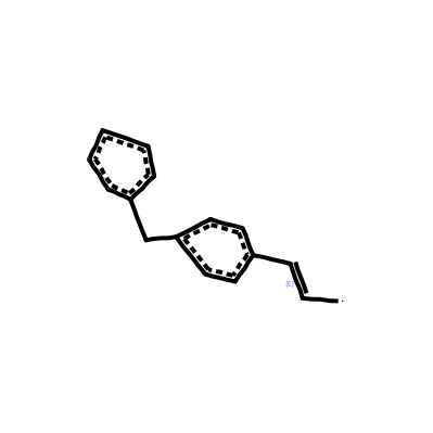 [CH2]/C=C/c1ccc(Cc2ccccc2)cc1